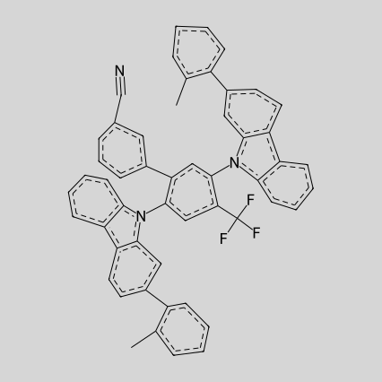 Cc1ccccc1-c1ccc2c3ccccc3n(-c3cc(C(F)(F)F)c(-n4c5ccccc5c5ccc(-c6ccccc6C)cc54)cc3-c3cccc(C#N)c3)c2c1